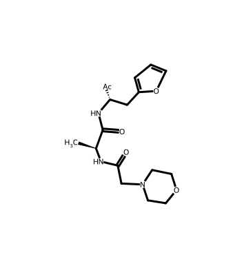 CC(=O)[C@H](Cc1ccco1)NC(=O)[C@H](C)NC(=O)CN1CCOCC1